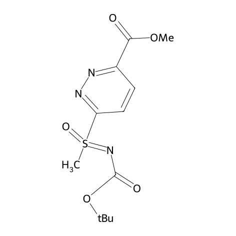 COC(=O)c1ccc(S(C)(=O)=NC(=O)OC(C)(C)C)nn1